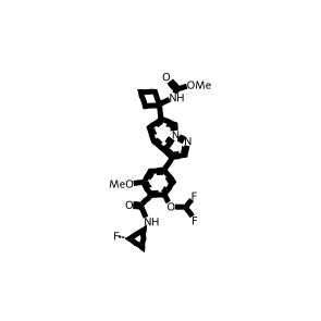 COC(=O)NC1(c2ccc3c(-c4cc(OC)c(C(=O)N[C@@H]5C[C@@H]5F)c(OC(F)F)c4)cnn3c2)CCC1